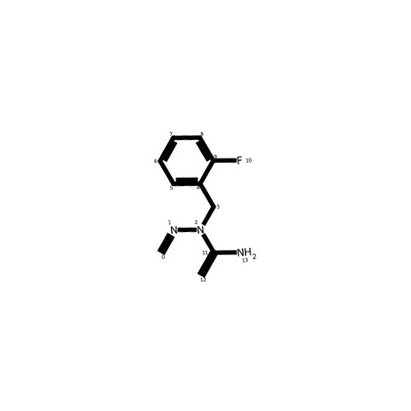 C=NN(Cc1ccccc1F)C(=C)N